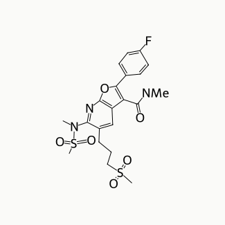 CNC(=O)c1c(-c2ccc(F)cc2)oc2nc(N(C)S(C)(=O)=O)c(CCCS(C)(=O)=O)cc12